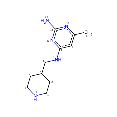 Cc1cc(NCC2CCNCC2)nc(N)n1